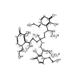 NC(CCC(NC(=O)O)c1c(O)c(=O)ccn1CCO)(CCC(NC(=O)O)c1c(O)c(=O)ccn1CCO)CCC(NC(=O)O)c1c(O)c(=O)ccn1CCO